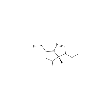 CC(C)C1C=NN(CCF)[C@@]1(C)C(C)C